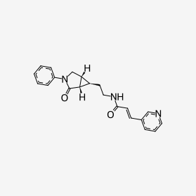 O=C(/C=C/c1cccnc1)NCC[C@@H]1[C@H]2CN(c3ccccc3)C(=O)[C@@H]12